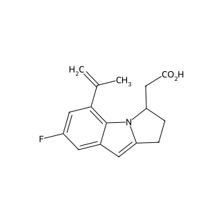 C=C(C)c1cc(F)cc2cc3n(c12)C(CC(=O)O)CC3